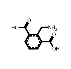 NCc1c(C(=O)O)cccc1C(=O)O